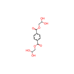 O=C(OCC(O)O)c1ccc(C(=O)OCC(O)O)cc1